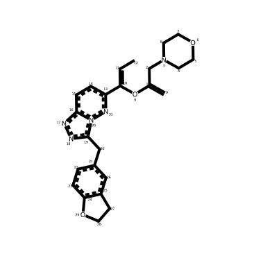 C=C(CN1CCOCC1)O/C(=C\C)c1ccc2nnc(Cc3ccc4c(c3)CCO4)n2n1